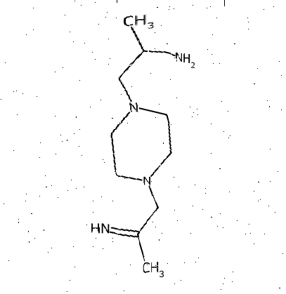 CC(=N)CN1CCN(CC(C)N)CC1